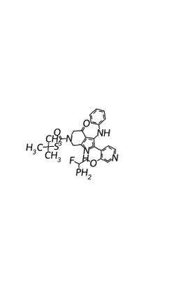 CC(C)(C)SC(=O)N1CC(=O)c2c([nH]c(-c3ccncc3OCC(F)P)c2Nc2ccccc2)C1